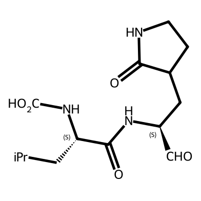 CC(C)C[C@H](NC(=O)O)C(=O)N[C@H](C=O)CC1CCNC1=O